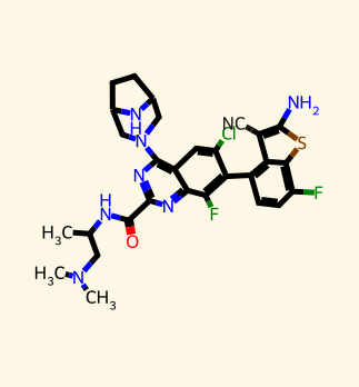 CC(CN(C)C)NC(=O)c1nc(N2CC3CCC(C2)N3)c2cc(Cl)c(-c3ccc(F)c4sc(N)c(C#N)c34)c(F)c2n1